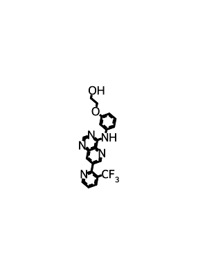 OCCOc1cccc(Nc2ncnc3cc(-c4ncccc4C(F)(F)F)cnc23)c1